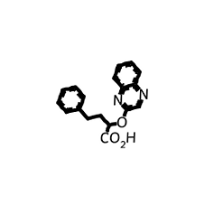 O=C(O)C(CCc1ccccc1)Oc1cnc2ccccc2n1